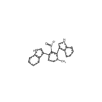 Cc1ccc(-c2c[nH]c3ccccc23)c([N+](=O)[O-])c1-c1c[nH]c2ccccc12